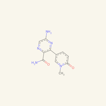 Cn1cc(-c2nc(N)cnc2C(N)=O)ccc1=O